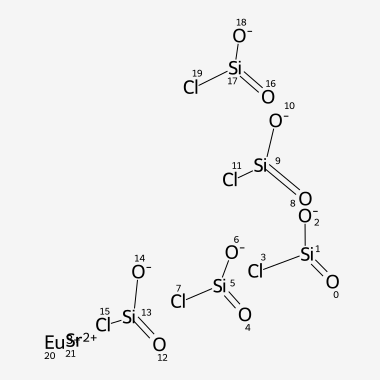 O=[Si]([O-])Cl.O=[Si]([O-])Cl.O=[Si]([O-])Cl.O=[Si]([O-])Cl.O=[Si]([O-])Cl.[Eu+3].[Sr+2]